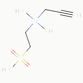 C#CC[N+](C)(C)CCS(C)(=O)=O